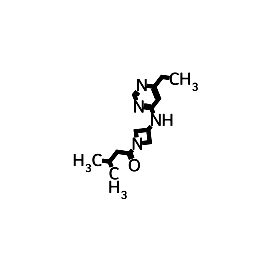 CCc1cc(NC2CN(C(=O)CC(C)C)C2)ncn1